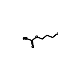 [NH]C(=O)OCCCI